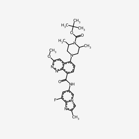 COc1cc2c(N3CC(C)N(C(=O)OC(C)(C)C)C(C)C3)ccc(C(=O)Nc3cc(F)c4nc(C)cn4c3)c2nn1